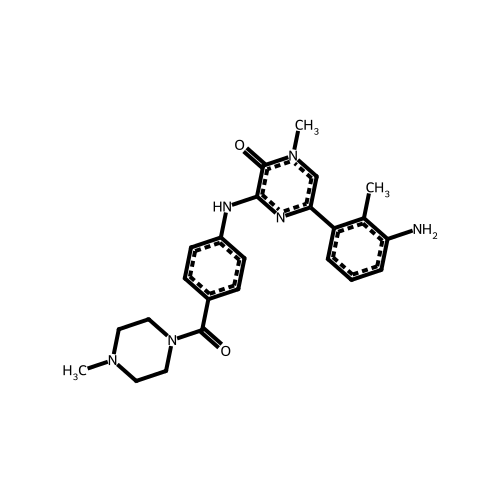 Cc1c(N)cccc1-c1cn(C)c(=O)c(Nc2ccc(C(=O)N3CCN(C)CC3)cc2)n1